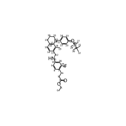 CCOC(=O)CCc1ccc(NCc2ccc3c(c2C)N(c2ccc(O[Si](C)(C)C(C)(C)C)cc2)CCC3)cc1F